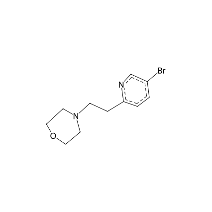 Brc1ccc(CCN2CCOCC2)nc1